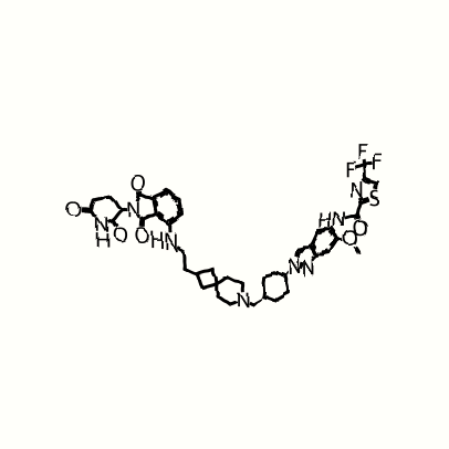 COc1cc2nn([C@H]3CC[C@H](CN4CCC5(CC4)CC(CCNc4cccc6c4C(=O)N(C4CCC(=O)NC4=O)C6=O)C5)CC3)cc2cc1NC(=O)c1nc(C(F)(F)F)cs1